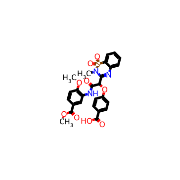 COC(=O)c1ccc(OC)c(NC(=O)C(Oc2ccc(C(=O)O)cc2)C2=Nc3ccccc3S(=O)(=O)N2C)c1